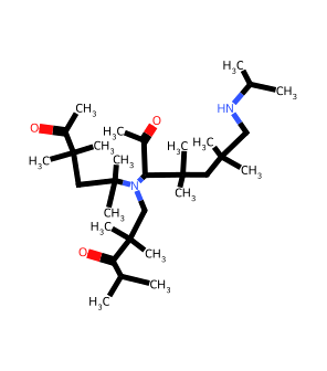 CC(=O)C(N(CC(C)(C)C(=O)C(C)C)C(C)(C)CC(C)(C)C(C)=O)C(C)(C)CC(C)(C)CNC(C)C